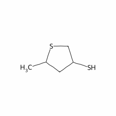 CC1CC(S)CS1